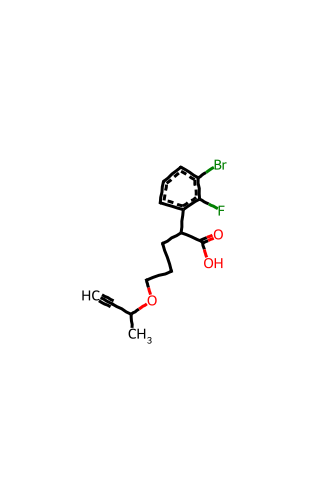 C#CC(C)OCCCC(C(=O)O)c1cccc(Br)c1F